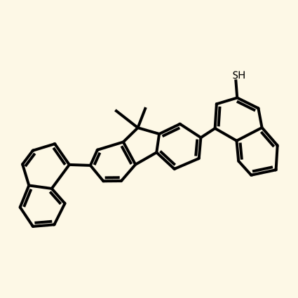 CC1(C)c2cc(-c3cccc4ccccc34)ccc2-c2ccc(-c3cc(S)cc4ccccc34)cc21